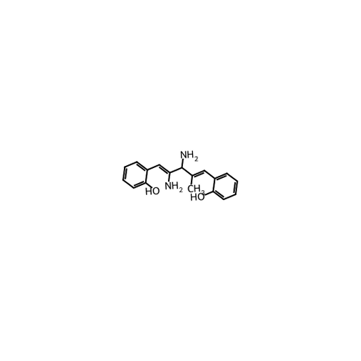 CC(=Cc1ccccc1O)C(N)C(N)=Cc1ccccc1O